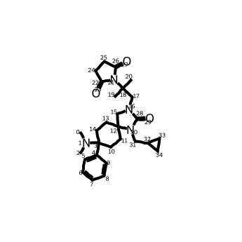 CN(C)C1(c2ccccc2)CCC2(CC1)CN(CC(C)(C)N1C(=O)CCC1=O)C(=O)N2CC1CC1